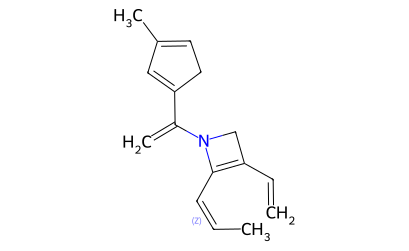 C=CC1=C(/C=C\C)N(C(=C)C2=CC(C)=CC2)C1